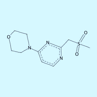 CS(=O)(=O)Cc1nccc(N2CCOCC2)n1